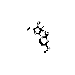 C[C@]1(O)[C@H](O)[C@@H](CO)O[C@H]1n1ccc(NO)nc1=O